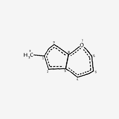 Cc1cc2cc[c]oc-2c1